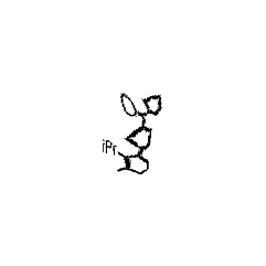 CC1=C(C(C)C)C(c2ccc(C(=O)c3ccccc3)cc2)=CCC1